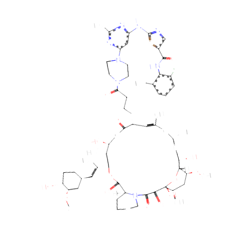 CO[C@H]1C[C@@H](C)[C@@]2(O)O[C@@H]1[C@@H](O)C[C@@H](C)C/C(C)=C/[C@@H](CCCC(=O)N1CCN(c3cc(Nc4ncc(C(=O)Nc5c(C)cccc5Cl)s4)nc(C)n3)CC1)C(=O)C[C@H](O)[C@@H](C)[C@@H](/C(C)=C/[C@@H]1CC[C@@H](O)[C@H](OC)C1)OC(=O)[C@@H]1CCCCN1C(=O)C2=O